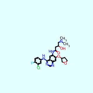 CN(C)CC(O)CC(=O)Nc1cc2c(Nc3ccc(F)c(Cl)c3)ncnc2cc1OC1CCOC1